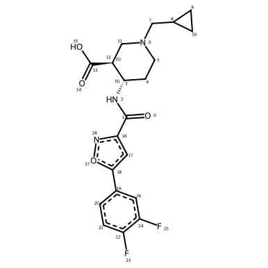 O=C(N[C@H]1CCN(CC2CC2)C[C@@H]1C(=O)O)c1cc(-c2ccc(F)c(F)c2)on1